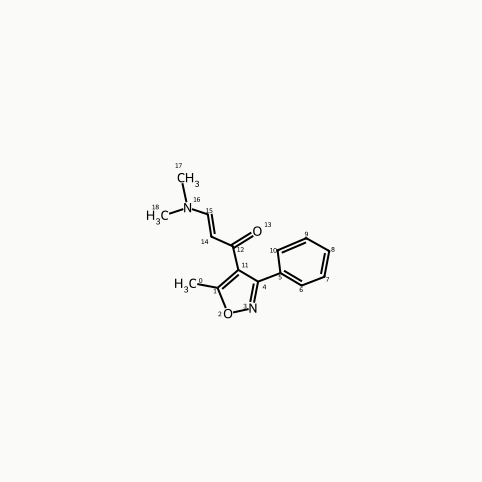 Cc1onc(-c2ccccc2)c1C(=O)/C=C/N(C)C